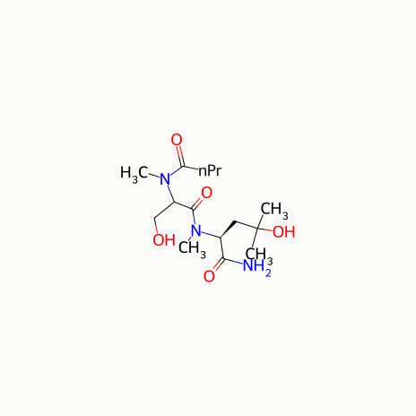 CCCC(=O)N(C)C(CO)C(=O)N(C)[C@@H](CC(C)(C)O)C(N)=O